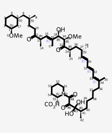 CO[C@H]1CCC[C@@H](C[C@@H](C)CCC(=O)[C@H](C)/C=C(\C)[C@@H](O)[C@@H](OC)C(=O)[C@H](C)C[C@H](C)/C=C/C=C/C=C(\C)CCCCC[C@@H](C)C(O)(O)C(=O)C(=O)N2CCCC[C@H]2C(=O)O)C1